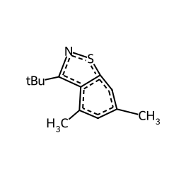 Cc1cc(C)c2c(C(C)(C)C)nsc2c1